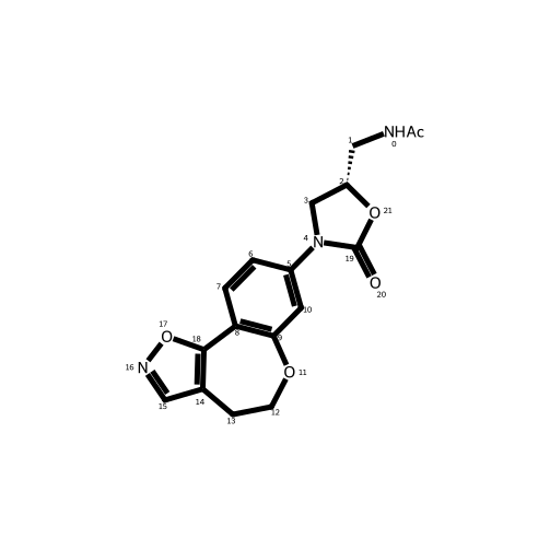 CC(=O)NC[C@H]1CN(c2ccc3c(c2)OCCc2cnoc2-3)C(=O)O1